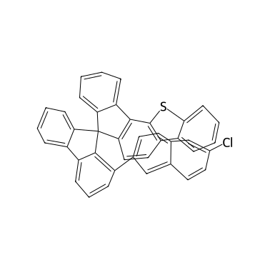 Clc1ccc2cc(-c3cccc4c3C3(c5ccccc5-4)c4ccccc4-c4c3ccc3c4sc4ccccc43)ccc2c1